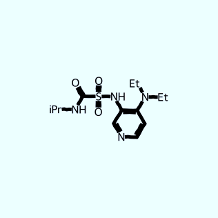 CCN(CC)c1ccncc1NS(=O)(=O)C(=O)NC(C)C